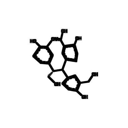 COc1cc([C@@H](CO)C(c2ccc(O)c(CO)c2)c2ccc(O)c(CO)c2)ccc1O